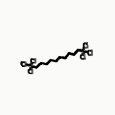 ClS(Cl)(Cl)CCCCCCCCCCS(Cl)(Cl)Cl